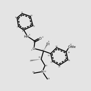 CC[C@](OC(=O)Nc1ccccc1)(c1cccc(OC)c1)[C@@H](C)CN(C)C